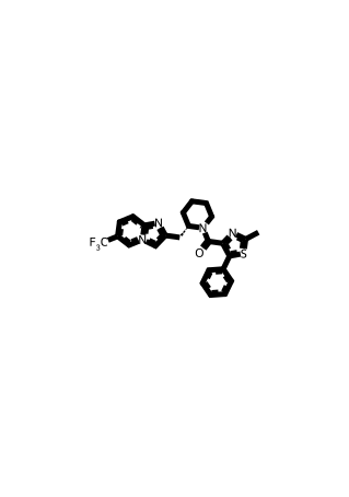 Cc1nc(C(=O)N2CCCC[C@H]2Cc2cn3cc(C(F)(F)F)ccc3n2)c(-c2ccccc2)s1